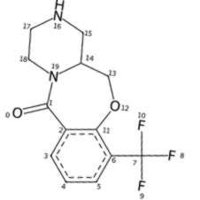 O=C1c2cccc(C(F)(F)F)c2OCC2CNCCN12